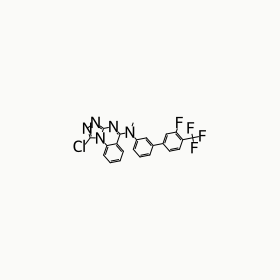 CN(c1cccc(-c2ccc(C(F)(F)F)c(F)c2)c1)c1nc2nnc(Cl)n2c2ccccc12